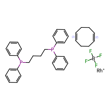 C1=C\CC/C=C\CC/1.F[B-](F)(F)F.[Rh+].c1ccc(P(CCCCP(c2ccccc2)c2ccccc2)c2ccccc2)cc1